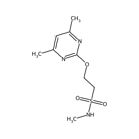 CNS(=O)(=O)CCOc1nc(C)[c]c(C)n1